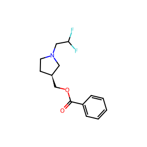 O=C(OC[C@H]1CCN(CC(F)F)C1)c1ccccc1